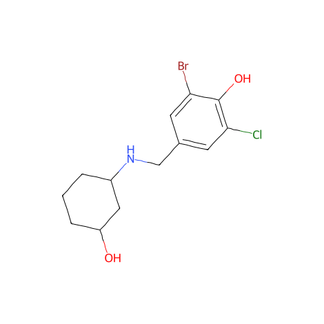 Oc1c(Cl)cc(CNC2CCCC(O)C2)cc1Br